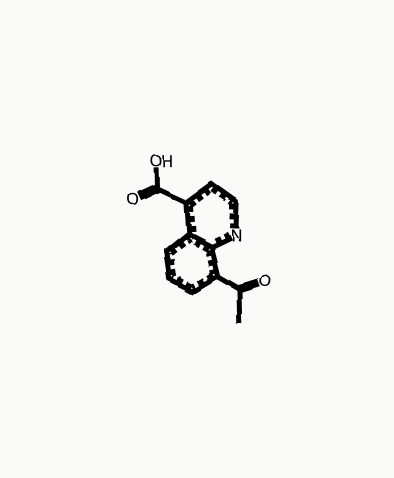 CC(=O)c1cccc2c(C(=O)O)ccnc12